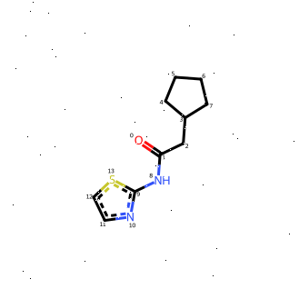 O=C(CC1CCCC1)Nc1nccs1